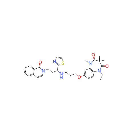 CCN1C(=O)C(C)(C)C(=O)N(C)c2cc(OCCCNC(CCn3ccc4ccccc4c3=O)c3nccs3)ccc21